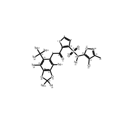 [2H]c1c(CC(=O)c2sccc2S(=O)(=O)N([2H])c2onc(C)c2Cl)c(C([2H])([2H])[2H])c([2H])c2c1OC([2H])([2H])O2